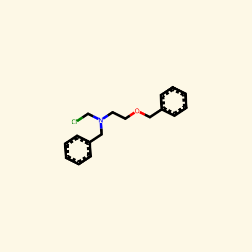 ClCN(CCOCc1ccccc1)Cc1ccccc1